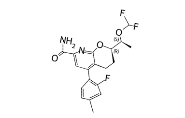 Cc1ccc(-c2cc(C(N)=O)nc3c2CC[C@H]([C@H](C)OC(F)F)O3)c(F)c1